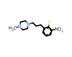 CN1CCN(CCCc2cccc([N+](=O)[O-])c2F)CC1